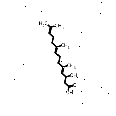 CC(C)=CCC/C(C)=C/CC/C(C)=C/C(O)CC(=O)O